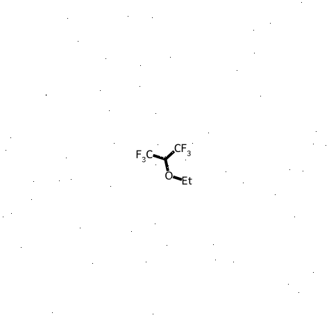 CCO[C](C(F)(F)F)C(F)(F)F